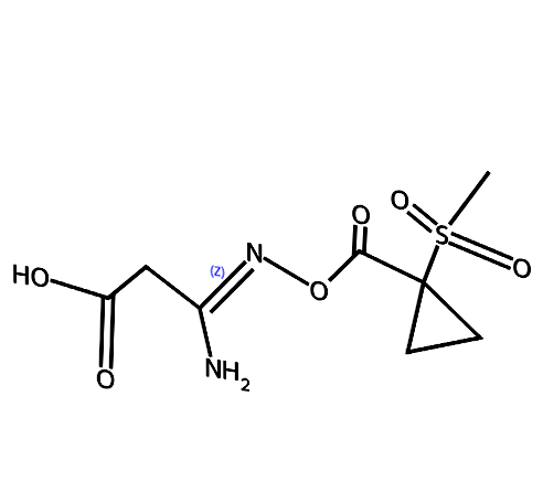 CS(=O)(=O)C1(C(=O)O/N=C(\N)CC(=O)O)CC1